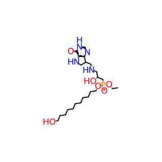 CCOP(=O)(CC(O)CNCC1CNc2c1nc[nH]c2=O)OCCCCCCCCCCCO